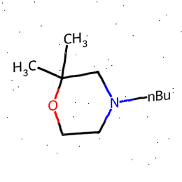 CCCCN1CCOC(C)(C)C1